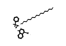 CCCCCCCCCCCCCCCCN1c2ccccc2C(C)(C)C12C=Nc1c(cc(C#N)c3ccccc13)O2